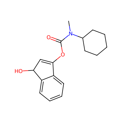 CN(C(=O)OC1=CC(O)c2ccccc21)C1CCCCC1